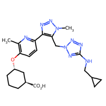 Cc1nc(-c2nnn(C)c2Cn2nnc(NCC3CC3)n2)ccc1O[C@H]1CCC[C@H](C(=O)O)C1